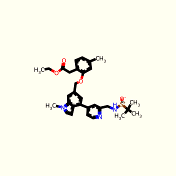 CCOC(=O)Cc1ccc(C)cc1OCc1cc(-c2ccnc(CN[S@@+]([O-])C(C)(C)C)c2)c2ccn(C)c2c1